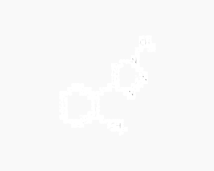 Cc1ccccc1-c1cn(C)nn1